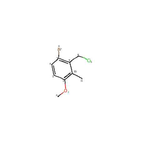 COc1ccc(Br)c(CCl)c1C